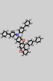 C1=CC(c2ccc(-c3c4oc5cc(N(c6ccc(-c7ccccc7)cc6)c6ccc(-c7ccccc7)cc6)ccc5c4cc4oc5ccccc5c34)cc2)=CCC1